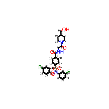 O=C(NCC(=O)N1CCC(CO)CC1)c1ccc(S(=O)(=O)N(Oc2ccc(F)cc2)c2cccc(F)c2)cc1